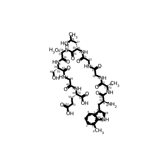 Cc1cccc2c(C[C@H](N)C(=O)N[C@@H](C)C(=O)NCC(=O)NCC(=O)N[C@@H](CC(C)O)C(=O)N[C@@H](C)C(=O)N[C@@H](CO)C(=O)NCC(=O)N[C@@H](CCC(=O)O)C(=O)O)c[nH]c12